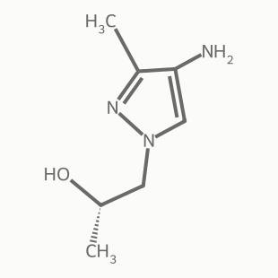 Cc1nn(C[C@H](C)O)cc1N